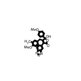 COc1ccc(C2(O)OC(=O)C(c3ccc4nonc4c3)=C2Cc2ccc(OC)c(C)c2)cc1